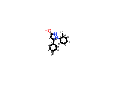 Cc1ccc(-c2cc(O)nn2-c2ccccc2C)cc1